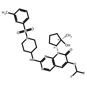 Cc1cccc(S(=O)(=O)N2CCC(Nc3ncc4cc(OC(F)F)c(=O)n([C@@H]5CCC[C@@]5(C)O)c4n3)CC2)c1